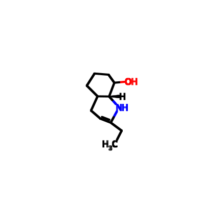 CCC1=CCC2CCCC(O)[C@@H]2N1